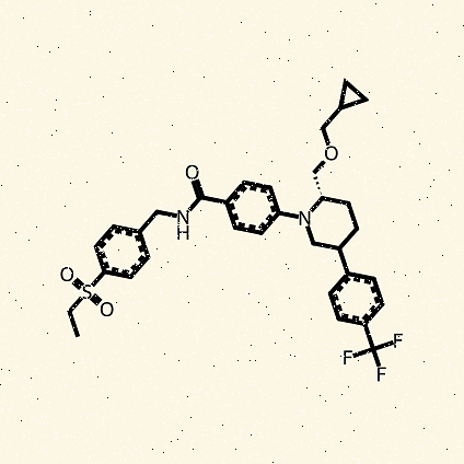 CCS(=O)(=O)c1ccc(CNC(=O)c2ccc(N3CC(c4ccc(C(F)(F)F)cc4)CC[C@H]3COCC3CC3)cc2)cc1